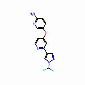 Nc1ccc(Oc2ccnc(-c3cnn(C(F)F)c3)c2)cn1